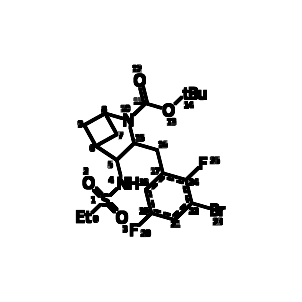 CCS(=O)(=O)NC1C2CC(C2)N(C(=O)OC(C)(C)C)C1Cc1cc(F)cc(Br)c1F